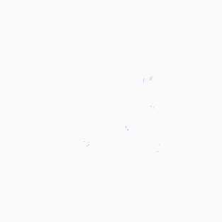 Nc1nc(Cl)nc2c(Br)cc([N+](=O)[O-])cc12